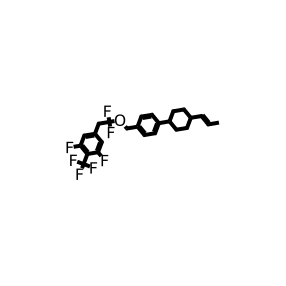 CC=CC1CCC(c2ccc(COC(F)(F)Cc3cc(F)c(C(F)(F)F)c(F)c3)cc2)CC1